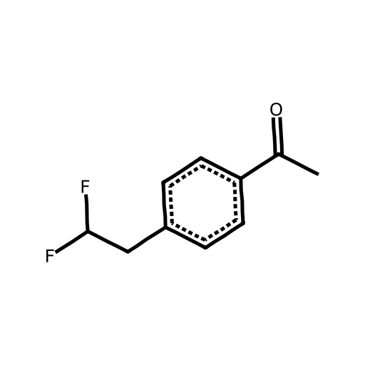 CC(=O)c1ccc(CC(F)F)cc1